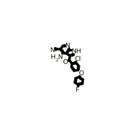 N#Cc1cnc2[nH]cc(C(=O)c3ccc(Oc4ccc(F)cc4)cc3Cl)c2c1N